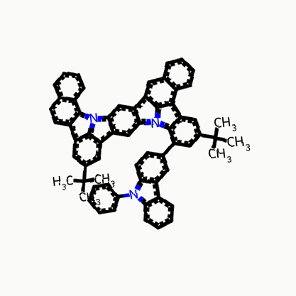 CC(C)(C)c1cc(-c2ccc3c(c2)c2ccccc2n3-c2ccccc2)c2c(c1)c1c3ccccc3cc3c4cc5c(cc4n2c31)c1cc(C(C)(C)C)cc2c3ccc4ccccc4c3n5c12